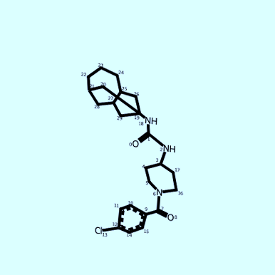 O=C(NC1CCN(C(=O)c2ccc(Cl)cc2)CC1)NC12CC3CCCC(C1)C(C3)C2